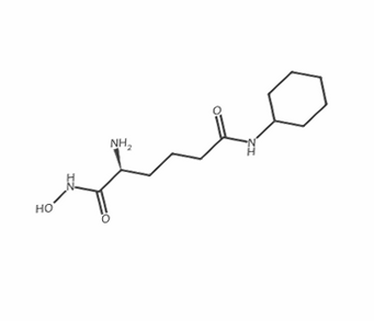 N[C@@H](CCCC(=O)NC1CCCCC1)C(=O)NO